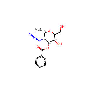 CS[C@@H]1OC(CO)[C@@H](O)[C@H](OC(=O)c2ccccc2)C1N=[N+]=[N-]